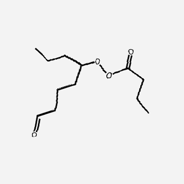 CCCC(=O)OOC(CCC)CCCC=O